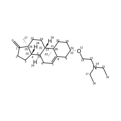 C=C1CC[C@H]2[C@@H]3CC=C4C[C@@H](OCCN(CC)CC)CC[C@]4(C)[C@H]3CC[C@]12C